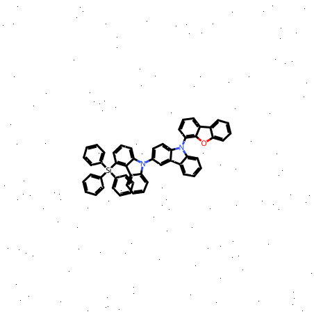 c1ccc([Si](c2ccccc2)(c2ccccc2)c2cccc3c2c2ccccc2n3-c2ccc3c(c2)c2ccccc2n3-c2cccc3c2oc2ccccc23)cc1